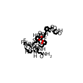 NC(=O)CCC(NC(=O)[C@@H]1CC[C@@H]2CCN(CC(F)(F)F)C[C@H](NC(=O)c3cc4cc(C(F)(F)P(=O)(O)O)ccc4s3)C(=O)N21)C(=O)NC(Cc1ccc(F)cc1)C(=O)N1CCC(CCC#Cc2cccc3c2CN(C2CCC(=O)NC2=O)C3=O)CC1